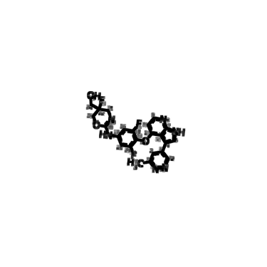 Cc1cc(-c2c[nH]c3nccc(Oc4c(F)cc(NC5=NCC(F)(CO)CO5)cc4F)c23)cnn1